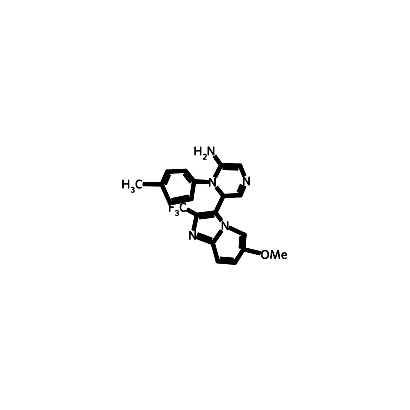 COc1ccc2nc(C(F)(F)F)c(C3C=NC=C(N)N3c3ccc(C)cc3)n2c1